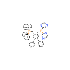 c1ccc(-c2cc(CP(c3cnccn3)c3cnccn3)c(CP(C34CC5CC(CC(C5)C3)C4)C34CC5CC(CC(C5)C3)C4)cc2-c2ccccc2)cc1